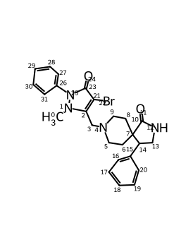 Cn1c(CN2CCC3(CC2)C(=O)NCC3c2ccccc2)c(Br)c(=O)n1-c1ccccc1